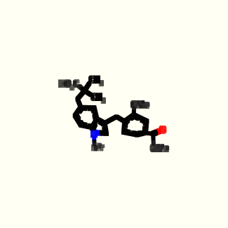 CCCn1cc(Cc2ccc(C(=O)OC)cc2OC)c2cc(CC(C)(C)C(=O)O)ccc21